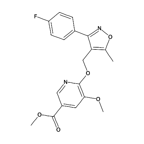 COC(=O)c1cnc(OCc2c(-c3ccc(F)cc3)noc2C)c(OC)c1